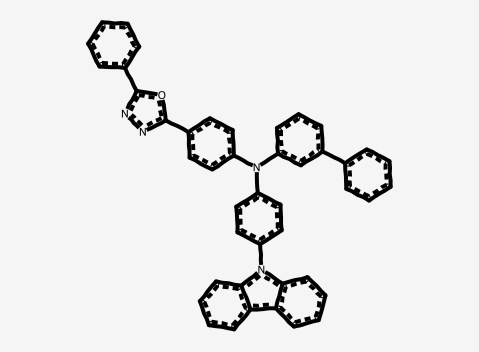 c1ccc(-c2cccc(N(c3ccc(-c4nnc(-c5ccccc5)o4)cc3)c3ccc(-n4c5ccccc5c5ccccc54)cc3)c2)cc1